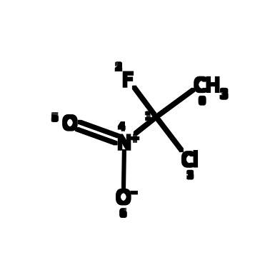 CC(F)(Cl)[N+](=O)[O-]